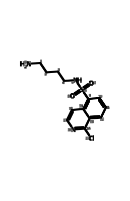 NCCCCNS(=O)(=O)c1cccc2c(Cl)nccc12